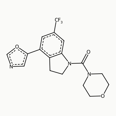 O=C(N1CCOCC1)N1CCc2c(-c3cnco3)cc(C(F)(F)F)cc21